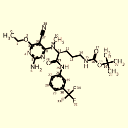 CCOc1nc(N)nc(N(C)[C@@H](CCCNC(=O)OC(C)(C)C)C(=O)Nc2cccc(C(F)(F)F)c2)c1C#N